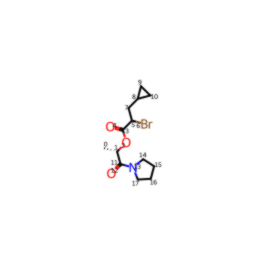 C[C@H](OC(=O)C(Br)CC1CC1)C(=O)N1CCCC1